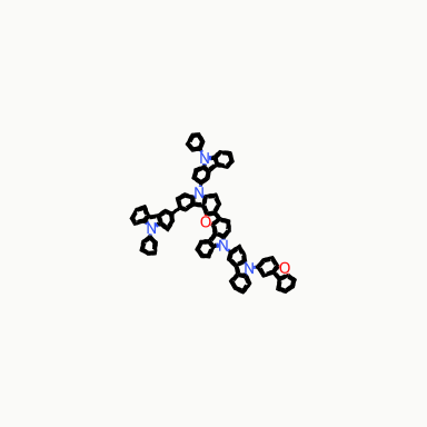 c1ccc(-n2c3ccccc3c3cc(-c4ccc5c(c4)c4c6oc7c(ccc8c7c7ccccc7n8-c7ccc8c(c7)c7ccccc7n8-c7ccc8oc9ccccc9c8c7)c6ccc4n5-c4ccc5c(c4)c4ccccc4n5-c4ccccc4)ccc32)cc1